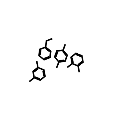 CCc1ccccc1.Cc1ccc(C)cc1.Cc1cccc(C)c1.Cc1ccccc1C